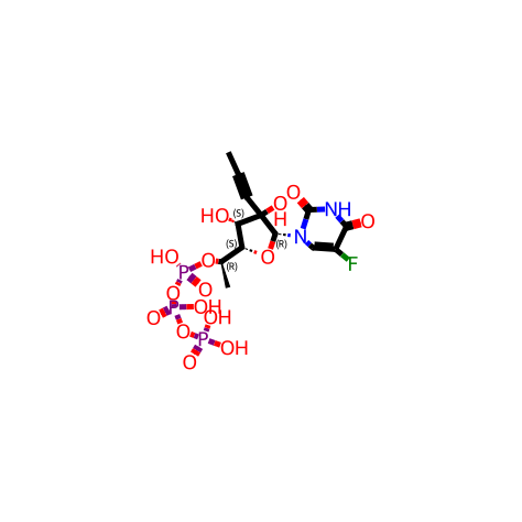 CC#CC1(O)[C@@H](O)[C@@H]([C@@H](C)OP(=O)(O)OP(=O)(O)OP(=O)(O)O)O[C@H]1n1cc(F)c(=O)[nH]c1=O